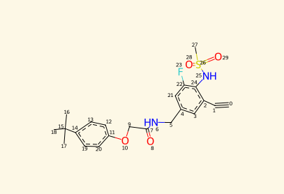 C#Cc1cc(CNC(=O)COc2ccc(C(C)(C)C)cc2)cc(F)c1NS(C)(=O)=O